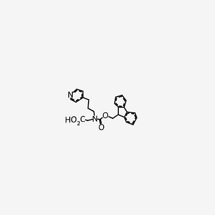 O=C(O)CN(CCCc1ccncc1)C(=O)OCC1c2ccccc2-c2ccccc21